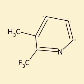 Cc1[c][c][c]nc1C(F)(F)F